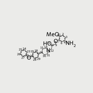 COc1ccc(N)cc1OCC(O)CN1CCC(c2ccc(Oc3ccccc3)cc2)CC1